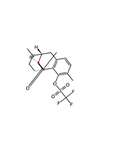 Cc1ccc2c(c1OS(=O)(=O)C(F)(F)F)[C@]13CCN(C)[C@H](C2)[C@@H]1CCC(=O)C3